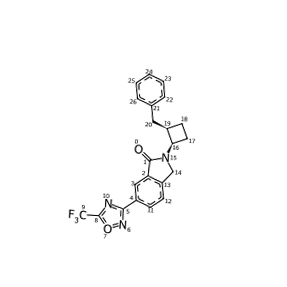 O=C1c2cc(-c3noc(C(F)(F)F)n3)ccc2CN1[C@@H]1CC[C@@H]1Cc1ccccc1